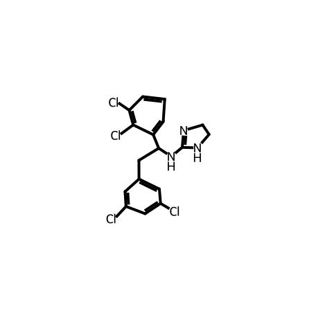 Clc1cc(Cl)cc(CC(NC2=NCCN2)c2cccc(Cl)c2Cl)c1